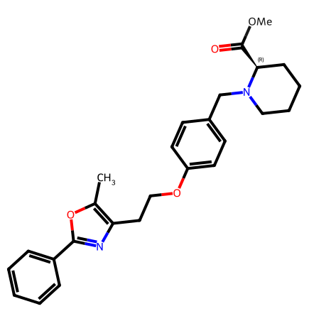 COC(=O)[C@H]1CCCCN1Cc1ccc(OCCc2nc(-c3ccccc3)oc2C)cc1